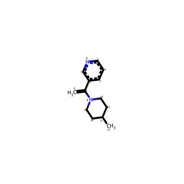 C=C(c1cccnc1)N1CCC(C)CC1